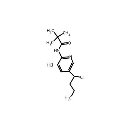 CCCC(Cl)c1ccc(NC(=O)C(C)(C)C)nc1.Cl